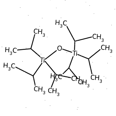 C[CH](C)[Ti]([O][Ti]([CH](C)C)([CH](C)C)[CH](C)C)([CH](C)C)[CH](C)C